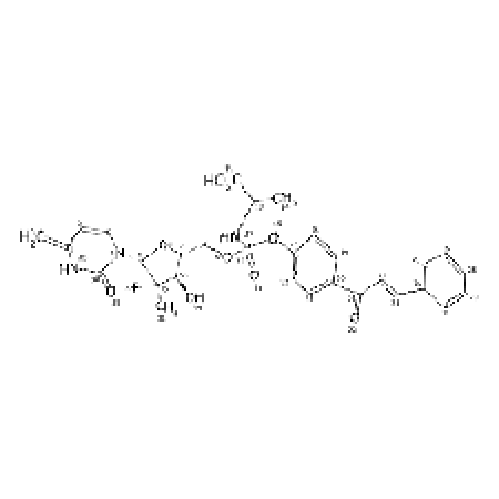 C=C1C=CN([C@@H]2O[C@H](COP(=O)(NC(C)C(=O)O)Oc3ccc(C(=O)/C=C/c4ccccc4)cc3)[C@@H](O)[C@@]2(C)F)C(=O)N1